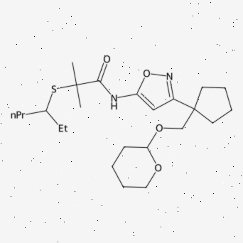 CCCC(CC)SC(C)(C)C(=O)Nc1cc(C2(COC3CCCCO3)CCCC2)no1